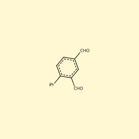 CC(C)c1ccc(C=O)cc1C=O